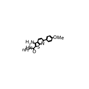 CCCNC(=O)c1sc2nc(-c3ccc(OC)cc3)ccc2c1N